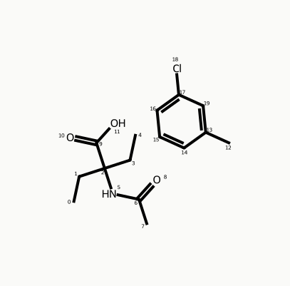 CCC(CC)(NC(C)=O)C(=O)O.Cc1cccc(Cl)c1